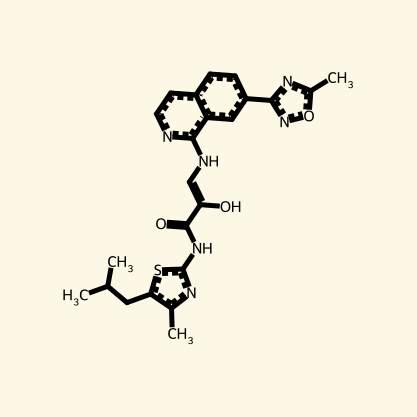 Cc1nc(-c2ccc3ccnc(NC=C(O)C(=O)Nc4nc(C)c(CC(C)C)s4)c3c2)no1